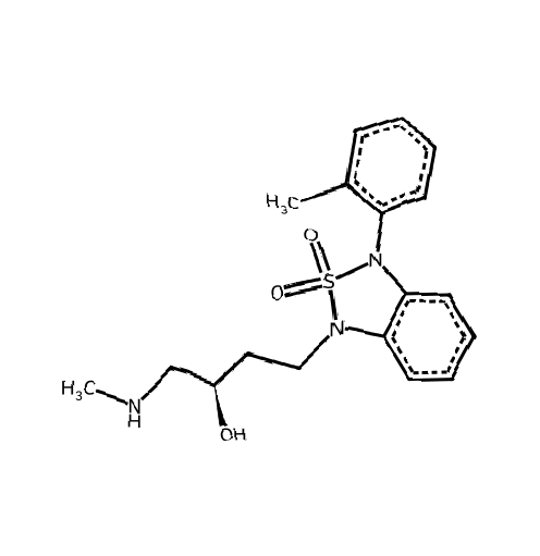 CNC[C@H](O)CCN1c2ccccc2N(c2ccccc2C)S1(=O)=O